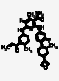 C=CC(=O)N1CC(Nc2nc(Nc3ccc(N4CCN(C5COC5)C[C@@H]4C)c(F)c3)c(C(N)=O)c(C)c2F)CC[C@@H]1C